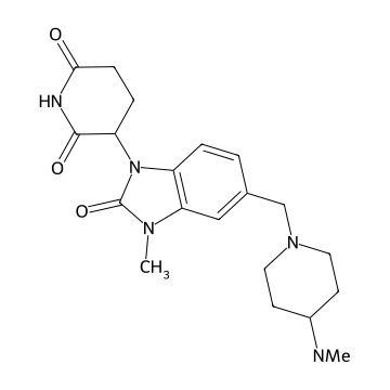 CNC1CCN(Cc2ccc3c(c2)n(C)c(=O)n3C2CCC(=O)NC2=O)CC1